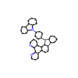 c1ccc2c(c1)B(c1ccc(-n3c4ccccc4c4ccccc43)cc1)c1c-2ccc2c3cccnc3c3ncccc3c12